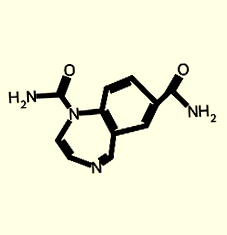 NC(=O)c1ccc2c(c1)C=NC=CN2C(N)=O